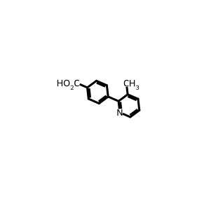 Cc1cccnc1-c1ccc(C(=O)O)cc1